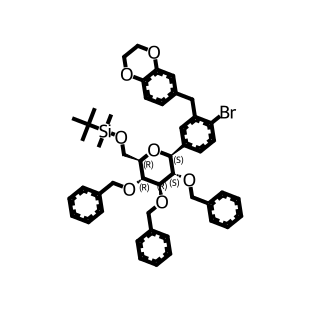 CC(C)(C)[Si](C)(C)OC[C@H]1O[C@@H](c2ccc(Br)c(Cc3ccc4c(c3)OCCO4)c2)[C@H](OCc2ccccc2)[C@@H](OCc2ccccc2)[C@@H]1OCc1ccccc1